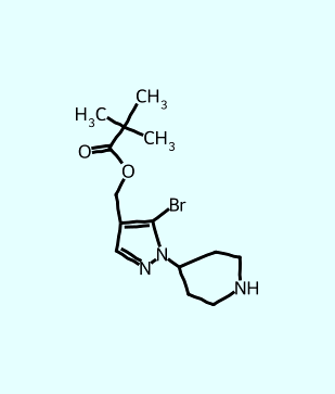 CC(C)(C)C(=O)OCc1cnn(C2CCNCC2)c1Br